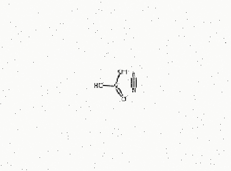 B#N.O=[Si](O)O